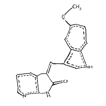 COc1ccc2[nH]cc(C=C3C(=O)Nc4ncccc43)c2c1